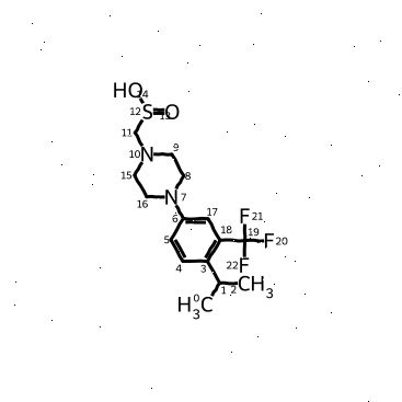 CC(C)c1ccc(N2CCN(CS(=O)O)CC2)cc1C(F)(F)F